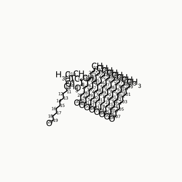 CC(C)C=O.CC(C)C=O.CCCCCCCCCC=O.CCCCCCCCCC=O.CCCCCCCCCC=O.CCCCCCCCCC=O.CCCCCCCCCC=O.CCCCCCCCCC=O.CCCCCCCCCC=O.CCCCCCCCCC=O.CCCCCCCCCC=O